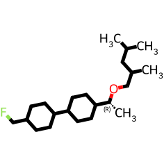 CC(C)CC(C)CO[C@H](C)C1CCC(C2CCC(CF)CC2)CC1